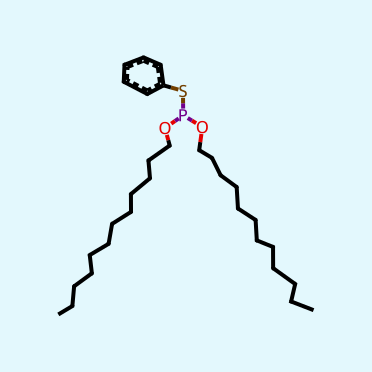 CCCCCCCCCCCCOP(OCCCCCCCCCCCC)Sc1ccccc1